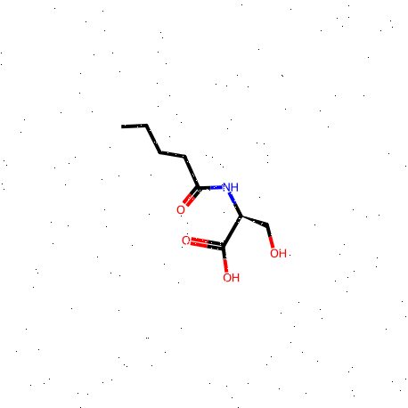 CCCCC(=O)N[C@@H](CO)C(=O)O